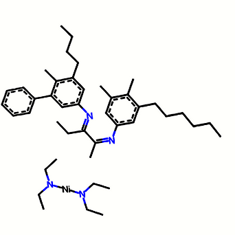 CCCCCCc1cc(N=C(C)C(CC)=Nc2cc(CCCC)c(C)c(-c3ccccc3)c2)cc(C)c1C.CC[N](CC)[Ni][N](CC)CC